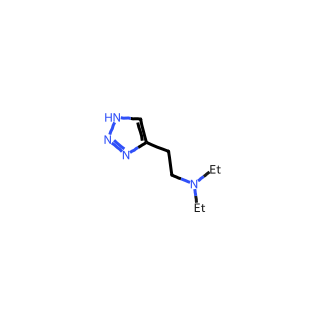 CCN(CC)CCc1c[nH]nn1